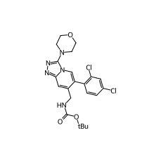 CC(C)(C)OC(=O)NCc1cc2nnc(N3CCOCC3)n2cc1-c1ccc(Cl)cc1Cl